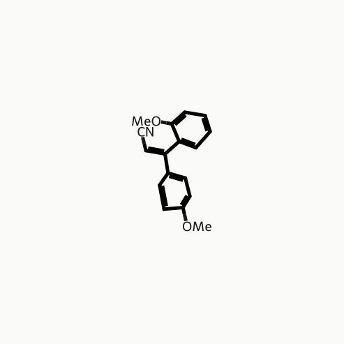 COc1ccc(/C(=C/C#N)c2ccccc2OC)cc1